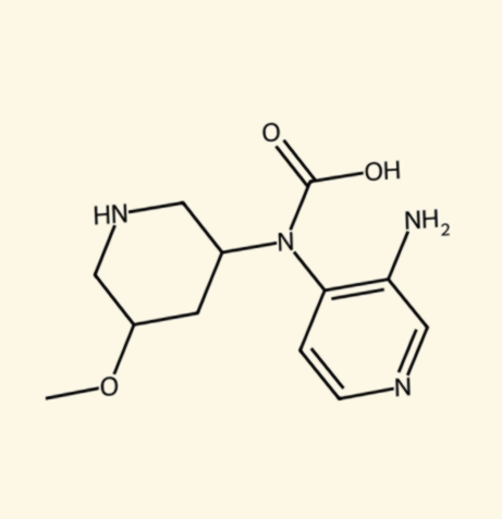 COC1CNCC(N(C(=O)O)c2ccncc2N)C1